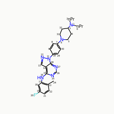 CCCN(CCC)C1CCN(c2ccc(-n3ncc4c(Nc5cc(F)ccc5C)ncnc43)cc2)CC1